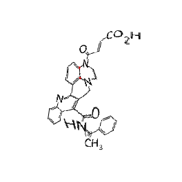 C[C@H](NC(=O)c1c(CN2CCN(C(=O)C=CC(=O)O)CC2)c(-c2ccccc2)nc2ccccc12)c1ccccc1